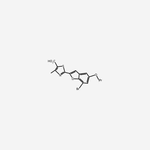 Cc1nc(-c2cc3cc(OC(C)C)cc(Br)c3o2)sc1C(=O)O